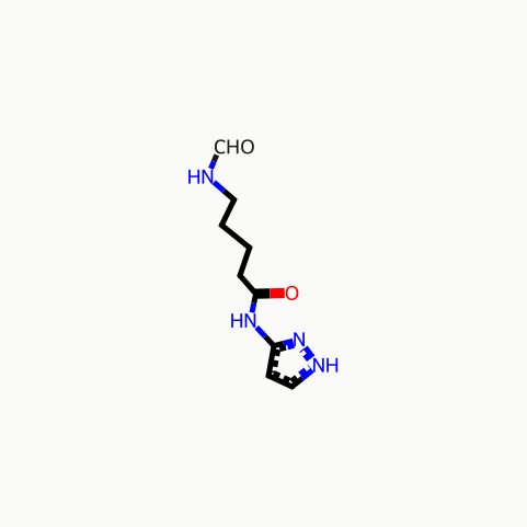 O=CNCCCCC(=O)Nc1cc[nH]n1